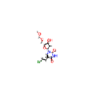 COCOC[C@H]1O[C@@H](n2cc(C=CBr)c(=O)[nH]c2=O)C[C@@H]1O